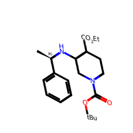 CCOC(=O)C1CCN(C(=O)OC(C)(C)C)CC1N[C@H](C)c1ccccc1